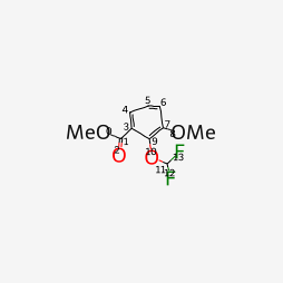 COC(=O)c1cccc(OC)c1OC(F)F